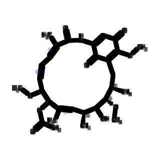 COC1=C2C[C@@H](C)[C@H](OC)C(O)[C@@H](C)/C=C(\C)C(OC(N)=O)C(OC)/C=C\C=C(/C)C(=O)NC(=CC1=O)C2=O